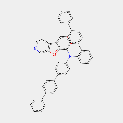 c1ccc(-c2ccc(-c3ccc(N(c4ccccc4-c4ccc(-c5ccccc5)cc4)c4cccc5c4oc4cnccc45)cc3)cc2)cc1